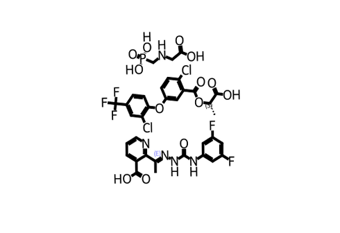 C/C(=N\NC(=O)Nc1cc(F)cc(F)c1)c1ncccc1C(=O)O.C[C@H](OC(=O)c1cc(Oc2ccc(C(F)(F)F)cc2Cl)ccc1Cl)C(=O)O.O=C(O)CNCP(=O)(O)O